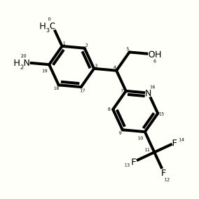 Cc1cc(C(CO)c2ccc(C(F)(F)F)cn2)ccc1N